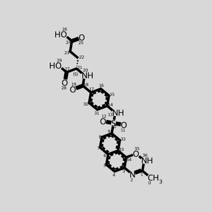 CC1=Nc2ccc3ccc(S(=O)(=O)Nc4ccc(C(=O)N[C@@H](CCC(=O)O)C(=O)O)cc4)cc3c2ON1